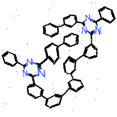 c1ccc(-c2ccc(-c3nc(-c4ccccc4)nc(-c4cccc(-c5cccc(-c6cccc(-c7cccc(-c8cccc(-c9nc(-c%10ccccc%10)nc(-c%10cccc(-c%11ccccc%11)c%10)n9)c8)c7)c6)c5)c4)n3)cc2)cc1